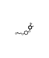 Cc1cc(OC2CCC(OCCC=O)CC2)ccc1Br